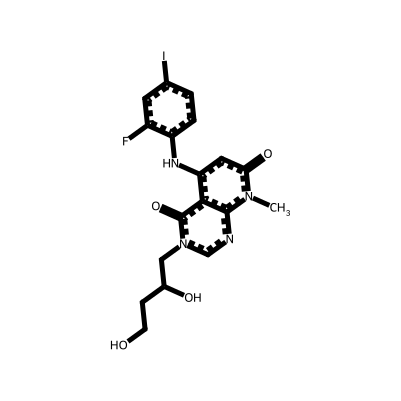 Cn1c(=O)cc(Nc2ccc(I)cc2F)c2c(=O)n(CC(O)CCO)cnc21